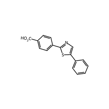 O=C(O)c1ccc(-c2ncc(-c3ccccc3)s2)cc1